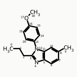 CCCc1nc2ccc(C)cc2n1-c1ccc(OC)cc1